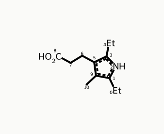 CCc1[nH]c(CC)c(CCC(=O)O)c1C